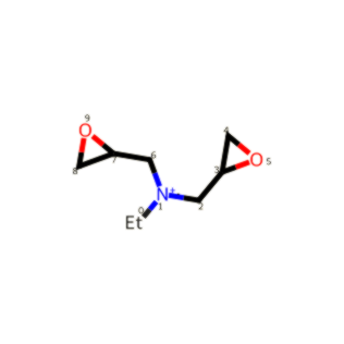 CC[N+](CC1CO1)CC1CO1